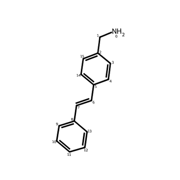 NCc1ccc(/C=C/c2ccccc2)cc1